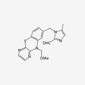 COCN1c2cc(Cn3c(C)[c]nc3C=O)ccc2Sc2nccnc21